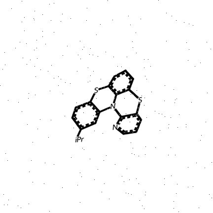 CC(C)c1ccc2c(c1)N1c3ncccc3Sc3cccc(c31)S2